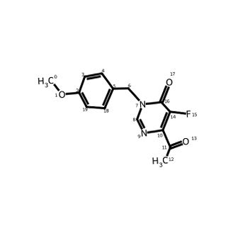 COc1ccc(Cn2cnc(C(C)=O)c(F)c2=O)cc1